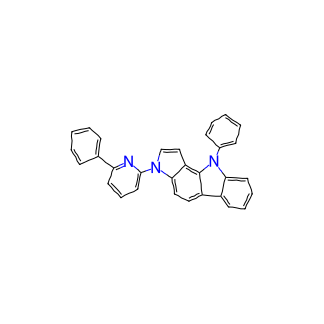 c1ccc(-c2cccc(-n3ccc4c3ccc3c5ccccc5n(-c5ccccc5)c34)n2)cc1